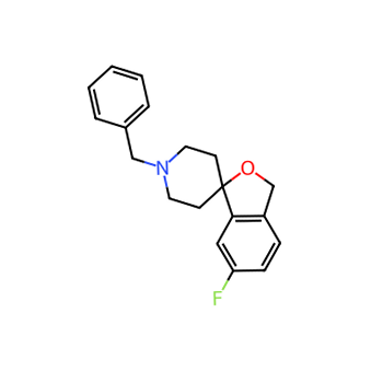 Fc1ccc2c(c1)C1(CCN(Cc3ccccc3)CC1)OC2